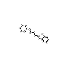 Brc1ccccc1COCCCOC1CCCCO1